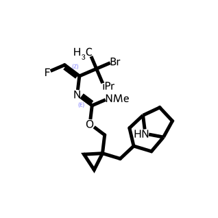 CN/C(=N\C(=C/F)C(C)(Br)C(C)C)OCC1(CC2CC3CCC(C2)N3)CC1